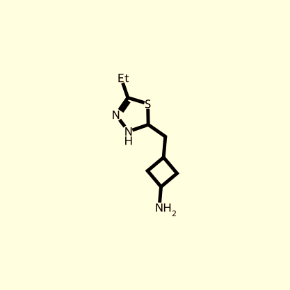 CCC1=NNC(CC2CC(N)C2)S1